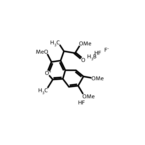 B.COC(=O)C(C)c1c(OC)[o+]c(C)c2cc(OC)c(OC)cc12.F.F.[F-]